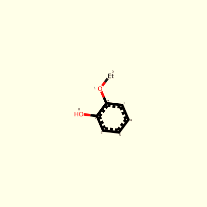 CCOc1c[c]ccc1O